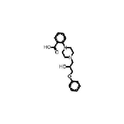 O=C(O)c1ccccc1N1CCN(CC(O)COc2ccccc2)CC1